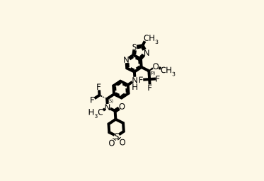 CO[C@H](c1c(Nc2ccc([C@@H](C(F)F)N(C)C(=O)C3CCS(=O)(=O)CC3)cc2)cnc2sc(C)nc12)C(F)(F)F